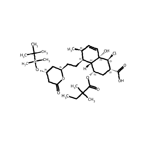 CCC(C)(C)C(=O)O[C@H]1C[C@@H](C(=O)O)[C@H](Cl)[C@]2(O)C=C[C@H](C)[C@H](CC[C@@H]3C[C@@H](O[Si](C)(C)C(C)(C)C)CC(=O)O3)[C@@H]12